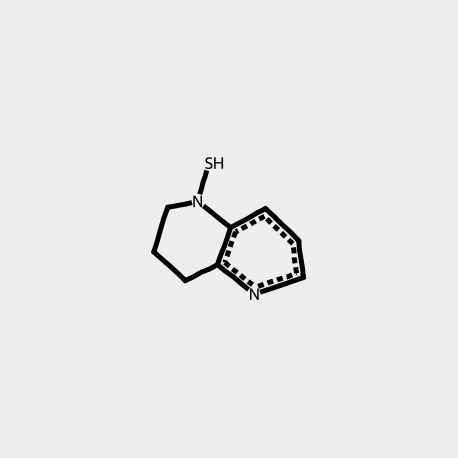 SN1CCCc2ncccc21